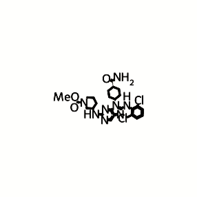 COC(=O)N1CCCC(Nc2ncc3nc(Nc4c(Cl)cccc4Cl)n([C@H]4CC[C@@H](C(N)=O)CC4)c3n2)C1